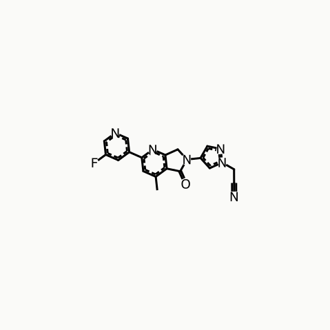 Cc1cc(-c2cncc(F)c2)nc2c1C(=O)N(c1cnn(CC#N)c1)C2